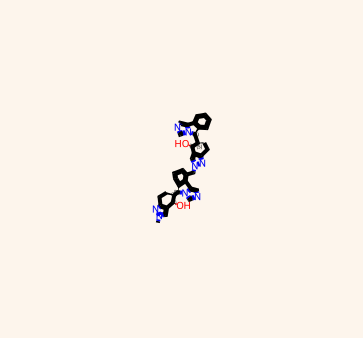 Cn1cc2c(n1)CC[C@@H]([C@@H]1c3cccc(Cn4cc5c(n4)CC[C@@H]([C@@H]4c6ccccc6-c6cncn64)[C@H]5O)c3-c3cncn31)[C@@H]2O